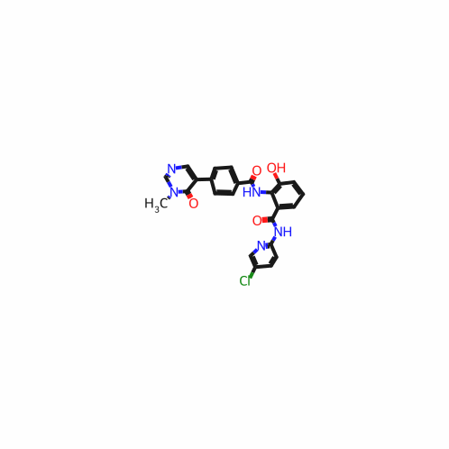 Cn1cncc(-c2ccc(C(=O)Nc3c(O)cccc3C(=O)Nc3ccc(Cl)cn3)cc2)c1=O